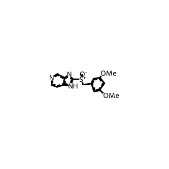 COc1cc(C[S+]([O-])c2nc3cnccc3[nH]2)cc(OC)c1